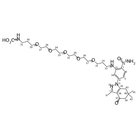 Cc1nn(-c2ccc(C(N)=O)c(NCCCOCCOCCOCCOCCOCCCNC(=O)O)c2)c2c1C(=O)CC(C)(C)C2